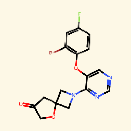 O=C1COC2(C1)CN(c1ncncc1Oc1ccc(F)cc1Br)C2